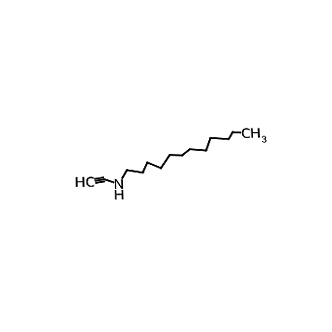 C#CNCCCCCCCCCCCC